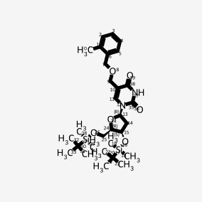 Cc1ccccc1COCc1cn([C@H]2C[C@H](O[Si](C)(C)C(C)(C)C)[C@@H](CO[Si](C)(C)C(C)(C)C)O2)c(=O)[nH]c1=O